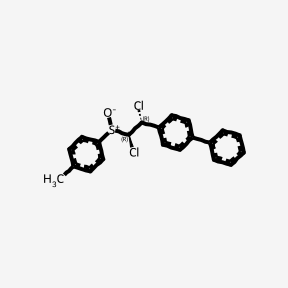 Cc1ccc([S+]([O-])[C@H](Cl)[C@H](Cl)c2ccc(-c3ccccc3)cc2)cc1